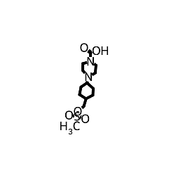 CS(=O)(=O)OCC1CCC(N2CCN(C(=O)O)CC2)CC1